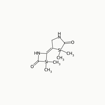 C[Si]1(C)C(=O)NCC1=C1NC(=O)[Si]1(C)C